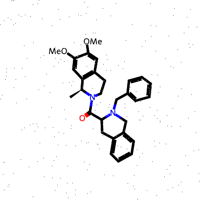 COc1cc2c(cc1OC)[C@H](C)N(C(=O)C1Cc3ccccc3CN1Cc1ccccc1)CC2